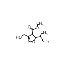 COC(=O)C1C(CO)=NOC1C(C)C